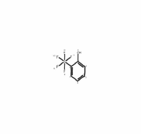 Oc1ccccc1S(F)(F)(F)(F)F